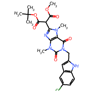 COC(=O)C(C(=O)OC(C)(C)C)c1nc2c(c(=O)n(Cc3cc4cc(Cl)ccc4[nH]3)c(=O)n2C)n1C